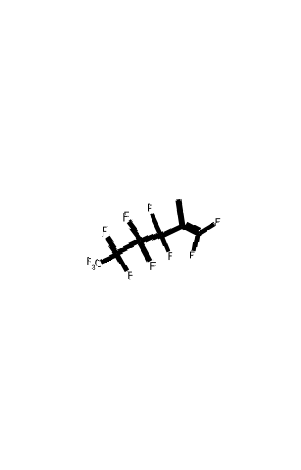 CC(=C(F)F)C(F)(F)C(F)(F)C(F)(F)C(F)(F)F